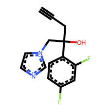 C#CCC(O)(Cn1ccnc1)c1ccc(F)cc1F